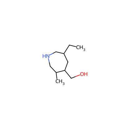 CCC1CNCC(C)C(CO)C1